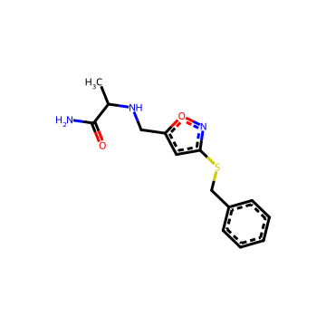 CC(NCc1cc(SCc2ccccc2)no1)C(N)=O